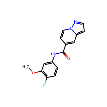 COc1cc(NC(=O)c2ccn3nccc3c2)ccc1F